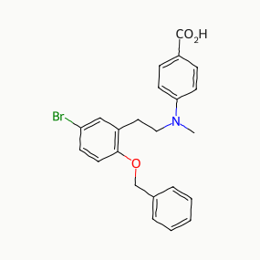 CN(CCc1cc(Br)ccc1OCc1ccccc1)c1ccc(C(=O)O)cc1